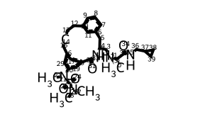 C[C@H](NCC1Cc2cccc(c2)CCCCc2cc(cc(N(C)S(=O)(=O)N(C)C)c2)C(=O)N1)C(=O)NCC1CC1